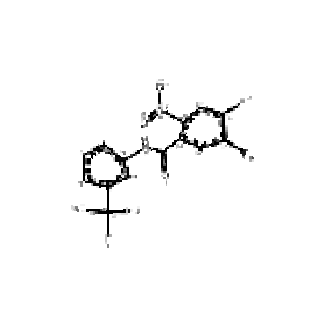 O=C(Nc1cccc(C(F)(F)F)c1)c1cc(F)c(F)cc1[N+](=O)[O-]